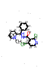 CN1CC2CCC1(C(NC(=O)c1c(Cl)ccnc1Cl)c1ccccc1)CC2